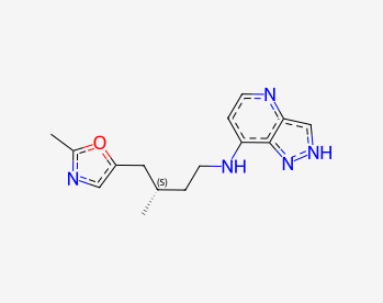 Cc1ncc(C[C@@H](C)CCNc2ccnc3c[nH]nc23)o1